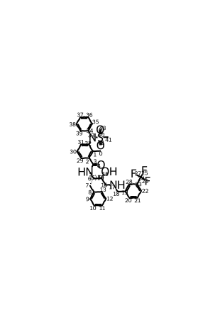 Cc1c(C(=O)N[C@@H](Cc2ccccc2)[C@H](O)CNCc2cccc(C(F)(F)F)c2)cccc1N(c1ccccc1)S(C)(=O)=O